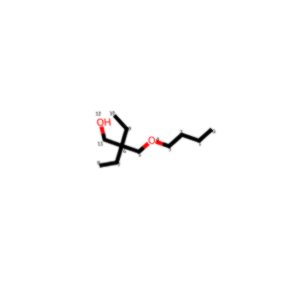 CCCCOCC(CC)(CC)CO